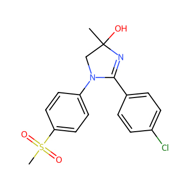 CC1(O)CN(c2ccc(S(C)(=O)=O)cc2)C(c2ccc(Cl)cc2)=N1